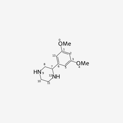 COc1cc(OC)cc(C2CNCCN2)c1